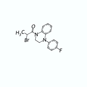 CC(Br)C(=O)N1CCN(c2ccc(F)cc2)c2ccccc21